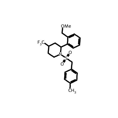 COCc1ccccc1C1CC(C(F)(F)F)CCN1S(=O)(=O)Cc1ccc(C)cc1